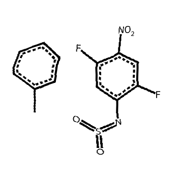 Cc1ccccc1.O=[N+]([O-])c1cc(F)c(N=S(=O)=O)cc1F